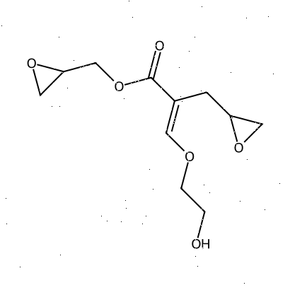 O=C(OCC1CO1)C(=COCCO)CC1CO1